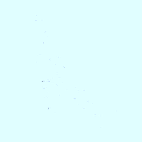 Cc1ccccc1[C@@H]1COCCCN1C1CC2(CCN(c3ccc(C(=O)NS(=O)(=O)c4ccc(NCC5CCC(C)(O)CC5)c([N+](=O)[O-])c4)c(N4c5cc6cc[nH]c6nc5O[C@@H]5CCOC[C@H]54)c3)CC2)C1